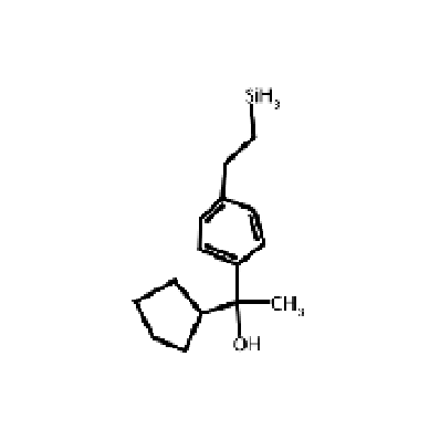 CC(O)(c1ccc(CC[SiH3])cc1)C1CCCC1